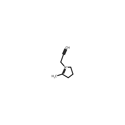 C#CC[N+]1=C(C)CCC1